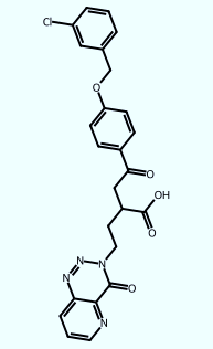 O=C(CC(CCn1nnc2cccnc2c1=O)C(=O)O)c1ccc(OCc2cccc(Cl)c2)cc1